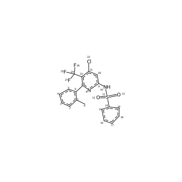 Cc1ccccc1-c1nc(NS(=O)(=O)c2ccccc2)cc(Cl)c1C(F)(F)F